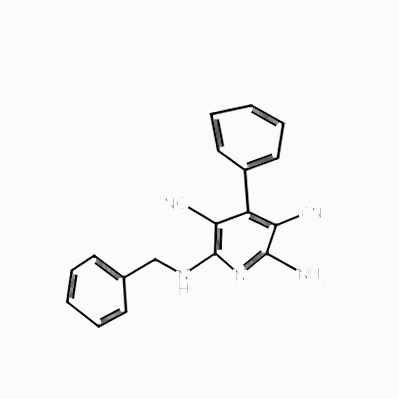 N#Cc1c(N)nc(NCc2ccccc2)c(C#N)c1-c1ccccc1